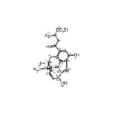 CCOC(=O)C(CC(=O)c1cc(O)c2c3c1C[C@@H]1[C@@H]4C=C[C@H](O)[C@H](O2)[C@]34CCN1C)C(C)=O